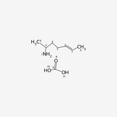 CC=CCCC(C)N.O=C(O)O